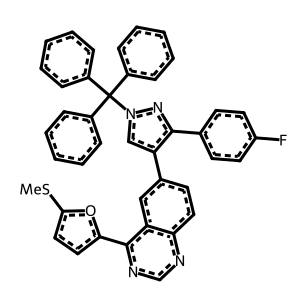 CSc1ccc(-c2ncnc3ccc(-c4cn(C(c5ccccc5)(c5ccccc5)c5ccccc5)nc4-c4ccc(F)cc4)cc23)o1